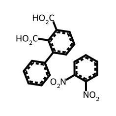 O=C(O)c1cccc(-c2ccccc2)c1C(=O)O.O=[N+]([O-])c1ccccc1[N+](=O)[O-]